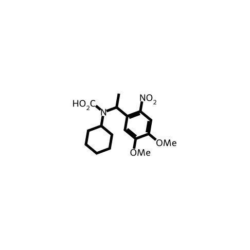 COc1cc(C(C)N(C(=O)O)C2CCCCC2)c([N+](=O)[O-])cc1OC